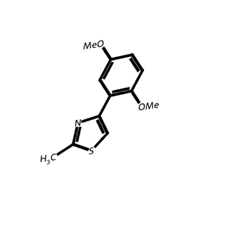 COc1ccc(OC)c(-c2csc(C)n2)c1